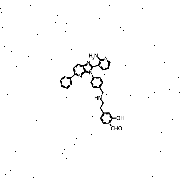 Nc1ncccc1-c1nc2ccc(-c3ccccc3)nc2n1-c1ccc(CNCCc2ccc(C=O)c(O)c2)cc1